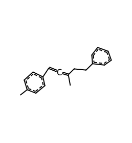 CC(=C=Cc1ccc(C)cc1)CCc1ccccc1